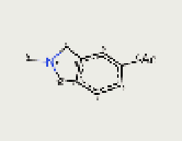 CC(=O)c1ccc2c(c1)CN(C)C2